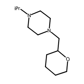 CC(C)N1CCN(CC2CCCCO2)CC1